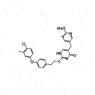 COc1ncc(Cc2c[nH]c(SCCc3ccc(Oc4ccc(Cl)c(C)c4)cc3)nc2=O)cn1